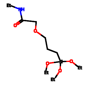 CCNC(=O)COCCC[Si](OCC)(OCC)OCC